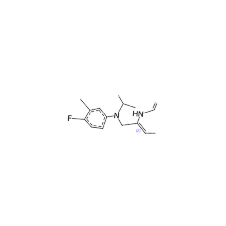 C=CN/C(=C\C)CN(c1ccc(F)c(C)c1)C(C)C